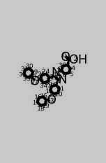 O=C(O)c1ccc2nc(-c3ccc(Oc4ccccc4)cc3)c(-c3ccc(Oc4ccccc4)cc3)nc2c1